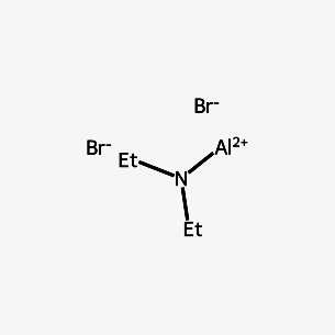 CC[N]([Al+2])CC.[Br-].[Br-]